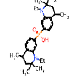 CCN1c2cc(P(=O)(O)c3ccc4c(c3)N(CC)C(C)(C)CC4C)ccc2C(C)CC1(C)C